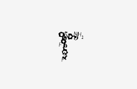 CC(C)(F)CN1CCC(COc2ccc(C3C=CC=CC3(F)C(=O)N3CCC(C(N)=O)CC3)cc2F)CC1